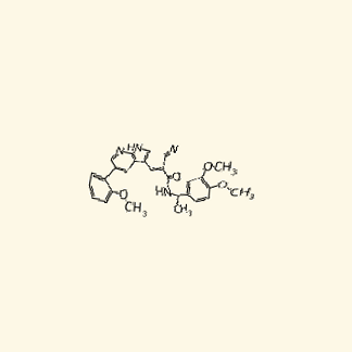 COc1ccc([C@@H](C)NC(=O)/C(C#N)=C/c2c[nH]c3ncc(-c4ccccc4OC)cc23)cc1OC